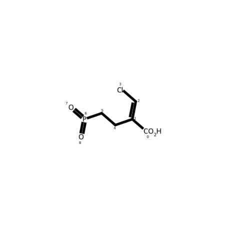 O=C(O)C(=CCl)CCP(=O)=O